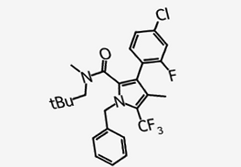 Cc1c(-c2ccc(Cl)cc2F)c(C(=O)N(C)CC(C)(C)C)n(Cc2ccccc2)c1C(F)(F)F